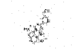 COc1cncc(C2=NCN(n3c(C(F)F)nc4ccccc43)C(N3CCOCC3)=N2)c1